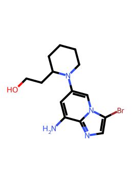 Nc1cc(N2CCCCC2CCO)cn2c(Br)cnc12